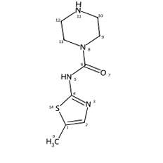 Cc1cnc(NC(=O)N2CCNCC2)s1